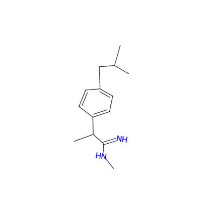 CNC(=N)C(C)c1ccc(CC(C)C)cc1